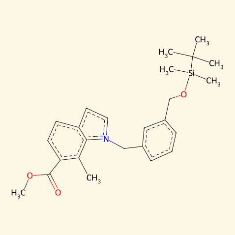 COC(=O)c1ccc2ccn(Cc3cccc(CO[Si](C)(C)C(C)(C)C)c3)c2c1C